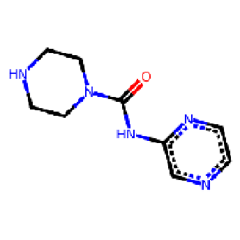 O=C(Nc1cnccn1)N1CCNCC1